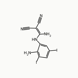 N#CC(C#N)=C(N)Nc1cc(I)cc(I)c1N